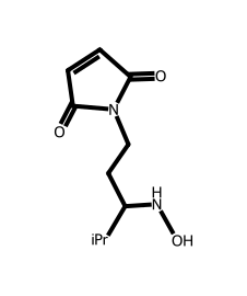 CC(C)C(CCN1C(=O)C=CC1=O)NO